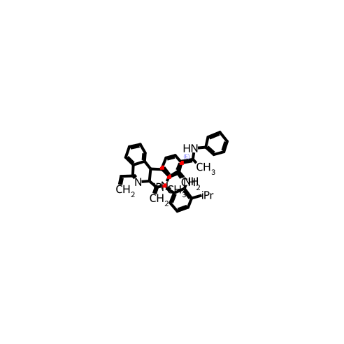 C=CC1=NC(C(=C)N(C)c2ccccc2Nc2c(C(C)C)cccc2C(C)C)C(CCC(=C)/C=C(\C)Nc2ccccc2)c2ccccc21